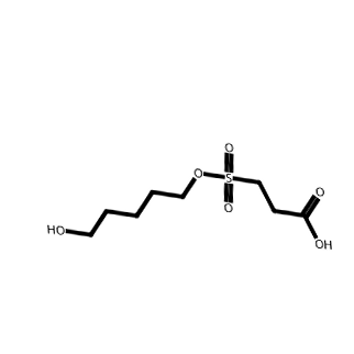 O=C(O)CCS(=O)(=O)OCCCCCO